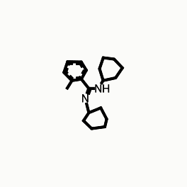 Cc1ccccc1C(=NC1CCCCC1)NC1CCCCC1